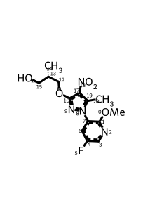 COc1ncc(F)cc1-n1nc(OC[C@@H](C)CO)c([N+](=O)[O-])c1C